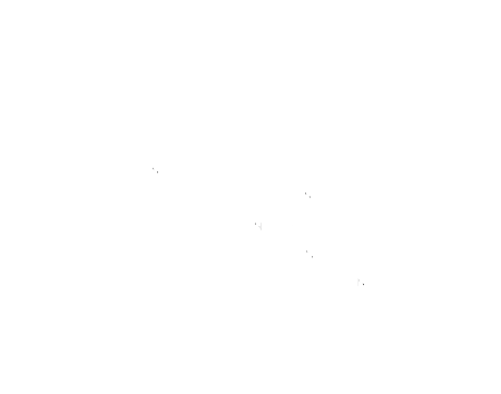 CNc1nc(Nc2ccc(OC)c(NC=O)c2)ncc1Cl